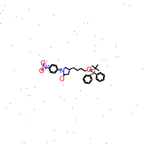 CC(C)(C)[Si](OCCCCC1CC(=O)N(c2ccc([N+](=O)[O-])cc2)C1)(c1ccccc1)c1ccccc1